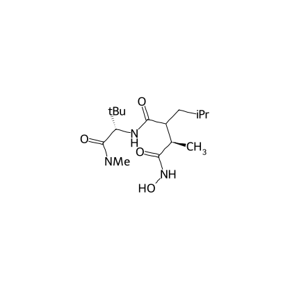 CNC(=O)[C@@H](NC(=O)C(CC(C)C)[C@@H](C)C(=O)NO)C(C)(C)C